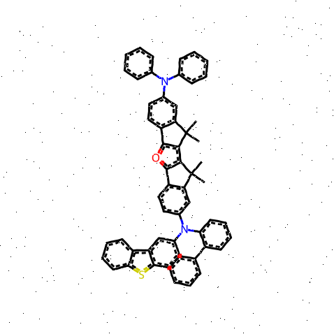 CC1(C)c2cc(N(c3ccccc3)c3ccccc3)ccc2-c2oc3c(c21)C(C)(C)c1cc(N(c2ccc4sc5ccccc5c4c2)c2ccccc2-c2ccccc2)ccc1-3